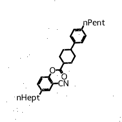 CCCCCCCc1ccc(OC(=O)C2CCC(c3ccc(CCCCC)cc3)CC2)c(C#N)c1